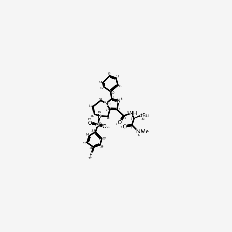 CNC(=O)[C@@H](NC(=O)c1nc(-c2ccccc2)n2c1CN(S(=O)(=O)c1ccc(F)cc1)CCC2)C(C)(C)C